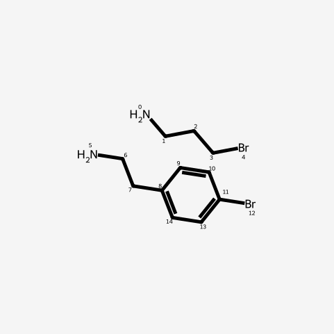 NCCCBr.NCCc1ccc(Br)cc1